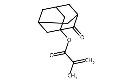 C=C(C)C(=O)OC12CC3CC(CC(C3)C1=O)C2